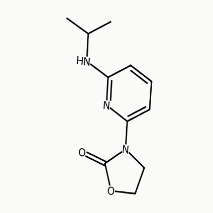 CC(C)Nc1cccc(N2CCOC2=O)n1